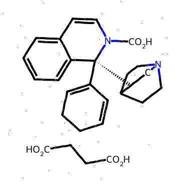 O=C(O)CCC(=O)O.O=C(O)N1C=Cc2ccccc2[C@@]1(C1=CCCC=C1)C1CN2CCC1CC2